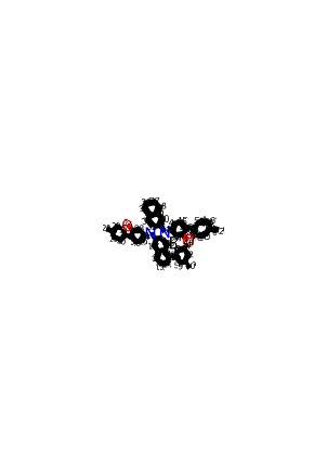 Cc1cc(C)c(B2c3c4c(cc5ccccc35)N(c3ccc5c(c3)oc3cc(C)ccc35)c3cc5ccccc5cc3N4c3ccc4c(oc5cc(C)ccc54)c32)c(C)c1